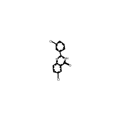 O=c1[nH]c(-c2[c]ccc(Cl)c2)nc2ccc(Cl)cc12